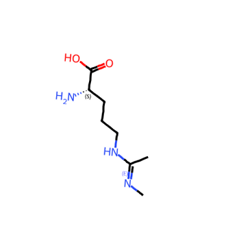 C/N=C(\C)NCCC[C@H](N)C(=O)O